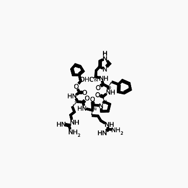 N=C(N)NCCC[C@H](NC(=O)OCc1ccccc1)C(=O)N[C@@H](CCCNC(=N)N)C(=O)N1CCC[C@H]1C(=O)N[C@@H](Cc1ccccc1)C(=O)N[C@H]([C]=O)Cc1c[nH]cn1